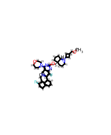 C#Cc1c(F)ccc2cccc(-c3ncc4c(N5CCCOCC5)nc(OC[C@]56CCC[C@H]5N(C5CC(COC)C5)CCC6)nc4c3F)c12